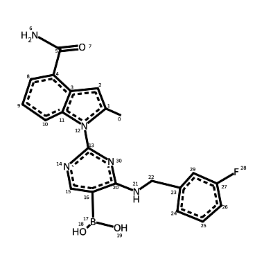 Cc1cc2c(C(N)=O)cccc2n1-c1ncc(B(O)O)c(NCc2cccc(F)c2)n1